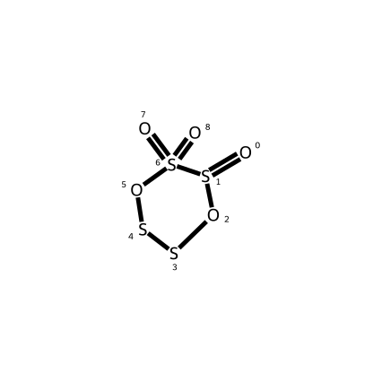 O=S1OSSOS1(=O)=O